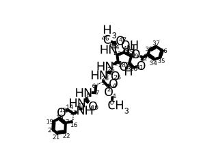 CCOC(=O)[C@H](CCNC(=O)NN[C@@H](C=O)Cc1ccccc1)NC(=O)NC1O[C@@H]2COC(c3ccccc3)O[C@H]2[C@H](O)[C@H]1NC(C)=O